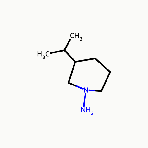 CC(C)C1CCCN(N)C1